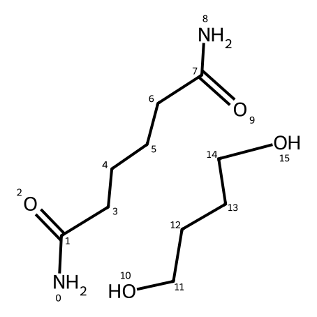 NC(=O)CCCCC(N)=O.OCCCCO